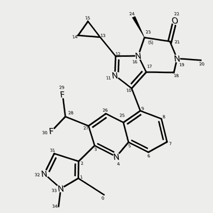 Cc1c(-c2nc3cccc(-c4nc(C5CC5)n5c4CN(C)C(=O)[C@@H]5C)c3cc2C(F)F)cnn1C